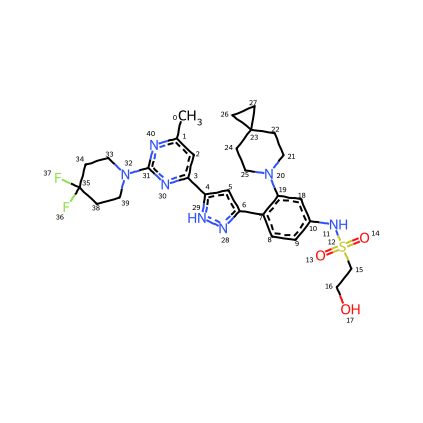 Cc1cc(-c2cc(-c3ccc(NS(=O)(=O)CCO)cc3N3CCC4(CC3)CC4)n[nH]2)nc(N2CCC(F)(F)CC2)n1